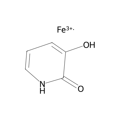 O=c1[nH]cccc1O.[Fe+3]